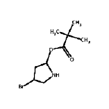 CC(C)(C)C(=O)OC1CC(Br)CN1